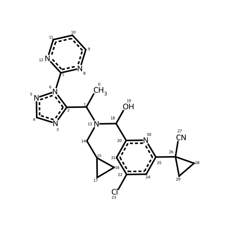 CC(c1ncnn1-c1ncccn1)N(CC1CC1)C(O)c1cc(Cl)cc(C2(C#N)CC2)n1